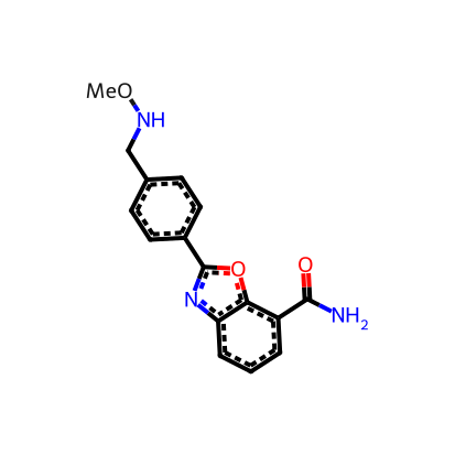 CONCc1ccc(-c2nc3cccc(C(N)=O)c3o2)cc1